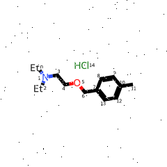 CCN(CC)CCOCc1ccc(C)cc1.Cl